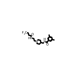 Cc1cc(C)cc(C(=O)NCC2CCN(CCNC(=O)CCC(F)(F)F)CC2)c1